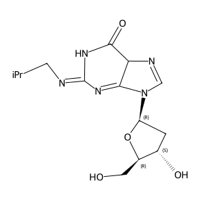 CC(C)CN=C1N=C2C(N=CN2[C@H]2C[C@H](O)[C@@H](CO)O2)C(=O)N1